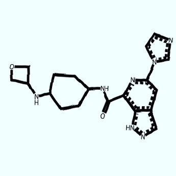 O=C(NC1CCC(NC2COC2)CC1)c1nc(-n2ccnc2)cc2cn[nH]c12